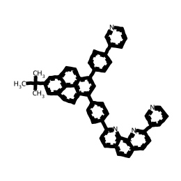 CC(C)(C)c1cc2ccc3c(-c4ccc(-c5cccnc5)cc4)cc(-c4ccc(-c5ccc6ccc7ccc(-c8cccnc8)nc7c6n5)cc4)c4ccc(c1)c2c34